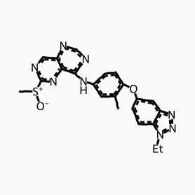 CCn1nnc2cc(Oc3ccc(Nc4ncnc5cnc([S+](C)[O-])nc45)cc3C)ccc21